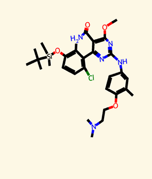 COc1nc(Nc2ccc(OCCN(C)C)c(C)c2)nc(-c2c(Cl)ccc(O[Si](C)(C)C(C)(C)C)c2C)c1C(N)=O